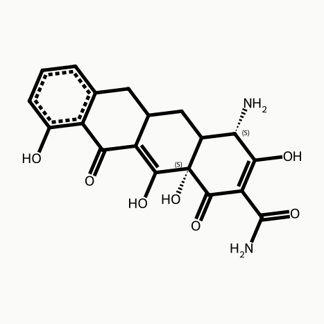 NC(=O)C1=C(O)[C@@H](N)C2CC3Cc4cccc(O)c4C(=O)C3=C(O)[C@]2(O)C1=O